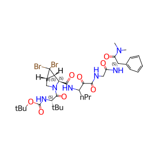 CCCC(NC(=O)[C@@H]1[C@@H]2[C@H](CN1C(=O)[C@@H](NC(=O)OC(C)(C)C)C(C)(C)C)C2(Br)Br)C(=O)C(=O)NCC(=O)N[C@H](C(=O)N(C)C)c1ccccc1